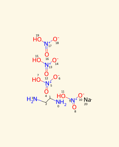 NCCN.O=[N+]([O-])O.O=[N+]([O-])O.O=[N+]([O-])O.O=[N+]([O-])O.[Na]